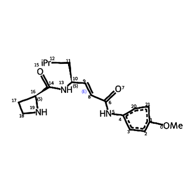 COc1ccc(NC(=O)/C=C/[C@H](CC(C)C)NC(=O)[C@@H]2CCN2)cc1